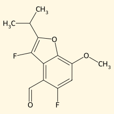 COc1cc(F)c(C=O)c2c(F)c(C(C)C)oc12